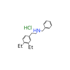 CCc1ccc(CCNCc2ccccc2)cc1CC.Cl